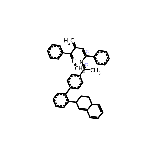 C=C=C(C(=C)/C=C(\N=C(/C)c1ccc(-c2ccccc2C2C=C3C=CC=CC3CC2)cc1)c1ccccc1)c1ccccc1